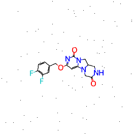 O=C1CN2c3cc(OCc4ccc(F)c(F)c4)nc(=O)n3CC2CN1